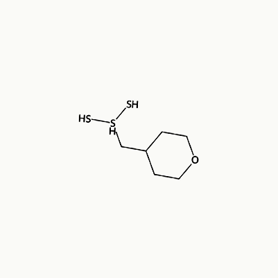 S[SH](S)CC1CCOCC1